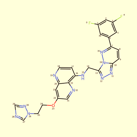 Fc1cc(F)cc(-c2ccc3nnc(CNc4ccnc5cc(OCCn6cncn6)cnc45)n3n2)c1